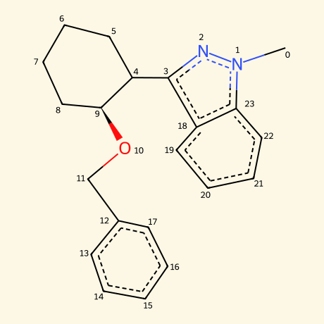 Cn1nc(C2CCCC[C@@H]2OCc2ccccc2)c2ccccc21